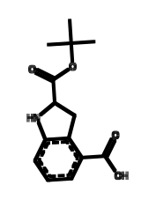 CC(C)(C)OC(=O)C1Cc2c(cccc2C(=O)O)N1